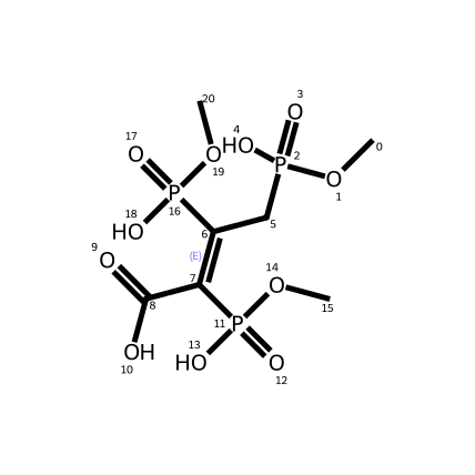 COP(=O)(O)C/C(=C(/C(=O)O)P(=O)(O)OC)P(=O)(O)OC